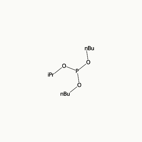 CCCCOP(OCCCC)OC(C)C